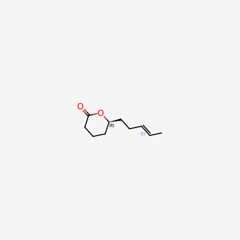 C/C=C/CC[C@H]1CCCC(=O)O1